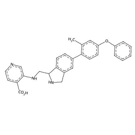 Cc1cc(Oc2ccccc2)ccc1-c1ccc2c(c1)CNC2CNc1cnccc1C(=O)O